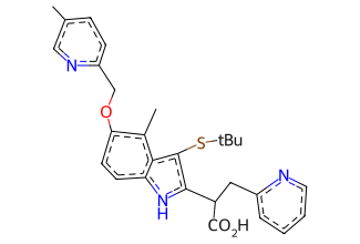 Cc1ccc(COc2ccc3[nH]c(C(Cc4ccccn4)C(=O)O)c(SC(C)(C)C)c3c2C)nc1